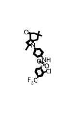 Cc1cc2c(n1-c1ccc(NS(=O)(=O)c3ccc(C(F)(F)F)cc3Cl)cc1)CC(C)(C)CC2=O